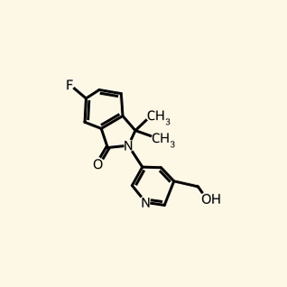 CC1(C)c2ccc(F)cc2C(=O)N1c1cncc(CO)c1